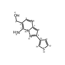 Nc1c(CO)cnc2cc(-c3ccsc3)nn12